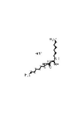 CCCCCCCNC(=N)NC(=O)NCCCCCCC.Cl